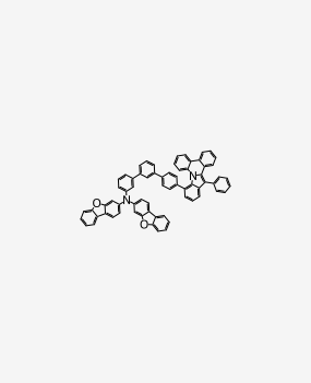 c1ccc(-c2c3cccc(-c4ccc(-c5cccc(-c6cccc(N(c7ccc8c(c7)oc7ccccc78)c7ccc8c(c7)oc7ccccc78)c6)c5)cc4)c3n3c4ccccc4c4ccccc4c23)cc1